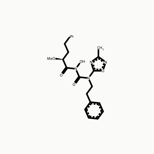 CO[C@@H](CCC(C)C)C(=O)N(O)C(=O)N(CCc1ccccc1)c1nc(C)no1